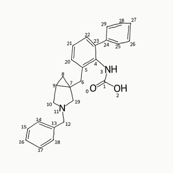 O=C(O)Nc1c(CC23CC2CN(Cc2ccccc2)C3)cccc1-c1ccccc1